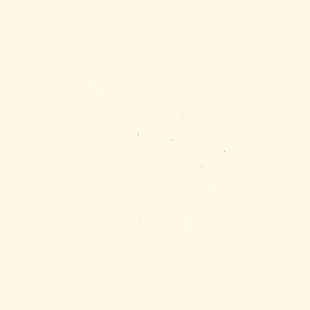 O=C1Oc2cccc(OCCO)c2C1c1ccccc1